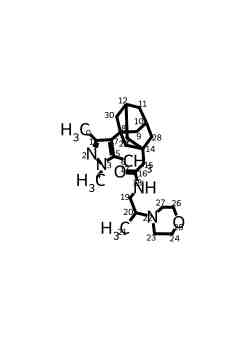 Cc1nn(C)c(C)c1C12CC3CC(CC(CC(=O)NCC(C)N4CCOCC4)(C3)C1)C2